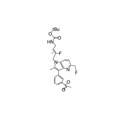 Cc1c(-c2cccc(S(C)(=O)=O)c2)c2nc(CF)ccc2n1C/C(F)=C/CNC(=O)OC(C)(C)C